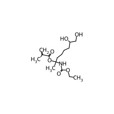 C=C(C)C(=O)OC(C)(CCCCC(O)CO)NC(=O)OCC